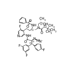 C[C@H](O)CN(C[C@H](CCc1c(F)cncc1NC(=O)[C@@H](N=[N+]=[N-])[C@@H](c1ccc(F)cc1)c1cc(F)cc(F)c1)NS(=O)(=O)c1ccccc1)C(=O)OC(C)(C)C